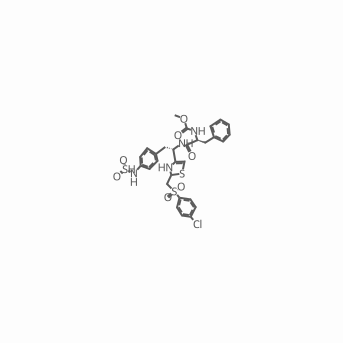 COC(=O)N[C@@H](Cc1ccccc1)C(=O)N[C@@H](Cc1ccc(N[SH](=O)=O)cc1)C1=CSC(CS(=O)(=O)c2ccc(Cl)cc2)N1